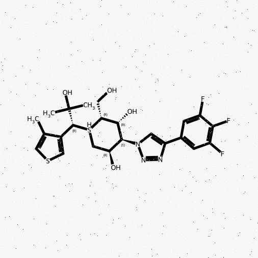 Cc1cscc1[C@@H]([SH]1C[C@H](O)[C@H](n2cc(-c3cc(F)c(F)c(F)c3)nn2)[C@@H](O)[C@H]1CO)C(C)(C)O